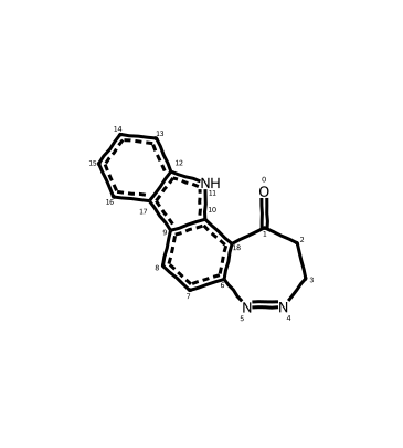 O=C1CCN=Nc2ccc3c([nH]c4ccccc43)c21